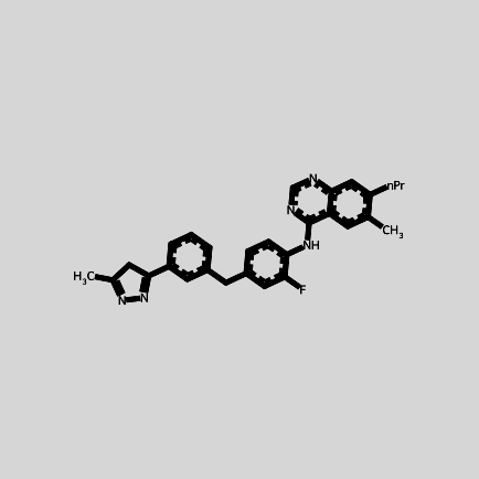 CCCc1cc2ncnc(Nc3ccc(Cc4cccc(C5=NN=C(C)C5)c4)cc3F)c2cc1C